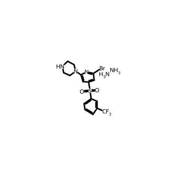 N.N.O=S(=O)(c1cccc(C(F)(F)F)c1)c1cc(Br)nc(N2CCNCC2)c1